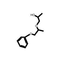 CC(O)COC(C)COc1ccccc1